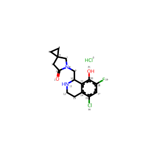 Cl.O=C1CC2(CC2)CN1CC1NCCc2c(Cl)cc(F)c(O)c21